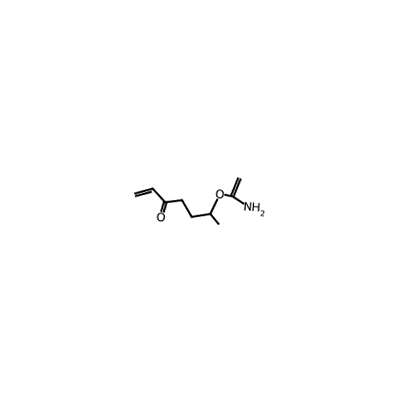 C=CC(=O)CCC(C)OC(=C)N